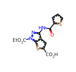 CCOC(=O)n1nc(NC(=O)c2cccs2)c2cc(C(=O)O)sc21